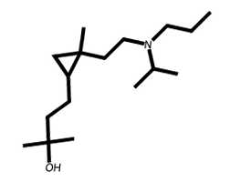 CCCN(CCC1(C)CC1CCC(C)(C)O)C(C)C